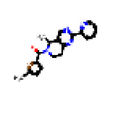 Cc1ccc(C(=O)N2CCc3nc(-c4ccccn4)ncc3C2C)s1